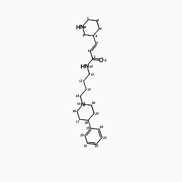 O=C(C=CC1CCCNC1)NCCCCN1CCC(c2ccccc2)CC1